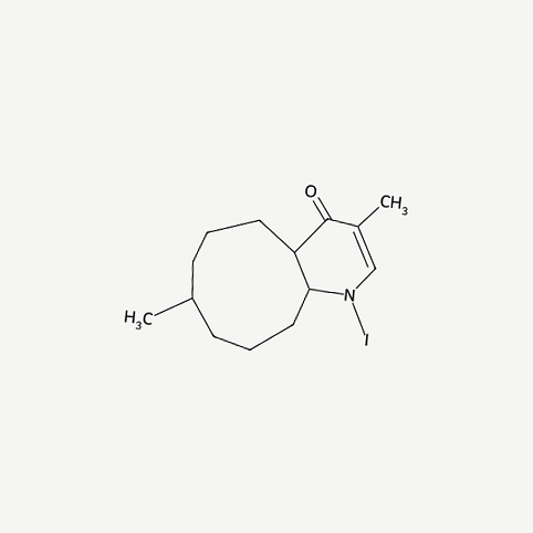 CC1=CN(I)C2CCCC(C)CCCC2C1=O